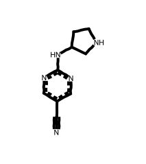 N#Cc1cnc(NC2CCNC2)nc1